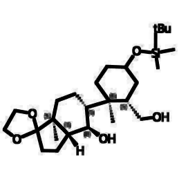 CC(C)(C)[Si](C)(C)OC1CC[C@](C)([C@H]2CC[C@@]3(C)[C@@H](CCC34OCCO4)[C@@H]2O)[C@@H](CO)C1